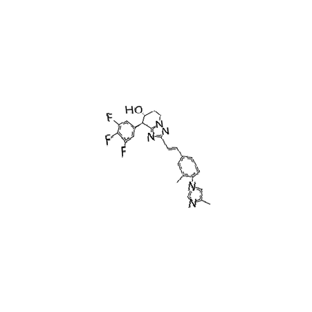 Cc1cn(-c2ccc(/C=C/c3nc4n(n3)CC[C@@H](O)[C@@H]4c3cc(F)c(F)c(F)c3)cc2C)cn1